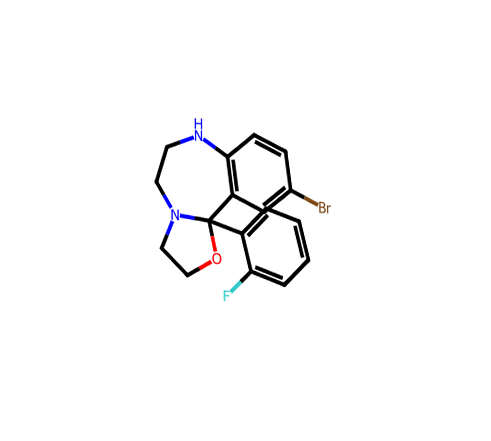 Fc1ccccc1C12OCCN1CCNc1ccc(Br)cc12